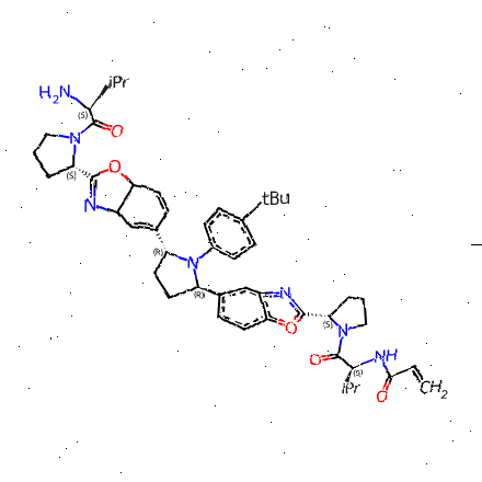 C=CC(=O)N[C@H](C(=O)N1CCC[C@H]1c1nc2cc([C@H]3CC[C@H](C4=CC5N=C([C@@H]6CCCN6C(=O)[C@@H](N)C(C)C)OC5C=C4)N3c3ccc(C(C)(C)C)cc3)ccc2o1)C(C)C